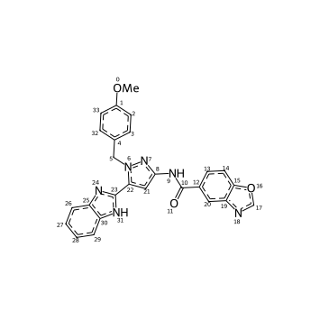 COc1ccc(Cn2nc(NC(=O)c3ccc4ocnc4c3)cc2-c2nc3ccccc3[nH]2)cc1